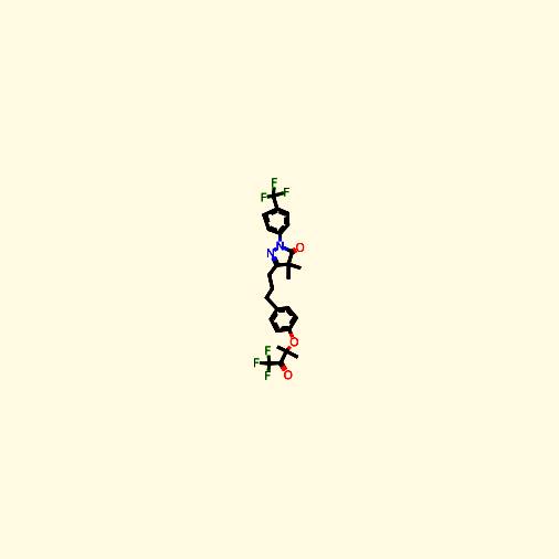 CC(C)(Oc1ccc(CCCC2=NN(c3ccc(C(F)(F)F)cc3)C(=O)C2(C)C)cc1)C(=O)C(F)(F)F